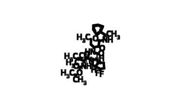 CCCC(NC(=O)[C@@H]1[C@H]2CCC(F)(F)[C@H]2CN1C(=O)[C@@H](NC(=O)OC(C)C)C(C)(C)C)C(=O)C(=O)N[C@@H](C)c1ccccc1